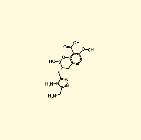 COc1ccc2c(c1C(=O)O)OB(O)[C@@H](Sc1nnc(CN)n1N)C2